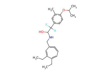 CCC1=CC=C=C(CNC(O)C(F)(F)c2ccc(OC(C)C)c(C)c2)C=C1CC